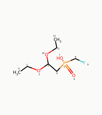 CCOC(CP(=O)(O)CF)OCC